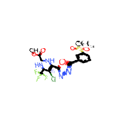 COC(=O)CN/C(=C(/Cl)C(=N)C(F)(F)F)c1nnc(-c2cccc(S(C)(=O)=O)c2)o1